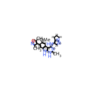 COc1cc2c3c([nH]c2cc1-c1c(C)noc1C)NC(C)N=C3Nc1cnn2c1CCC2